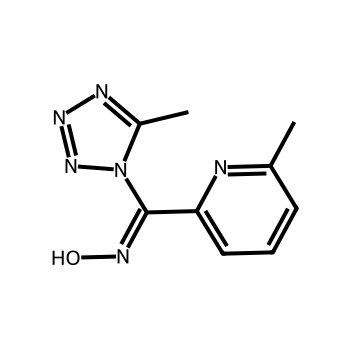 Cc1cccc(C(=NO)n2nnnc2C)n1